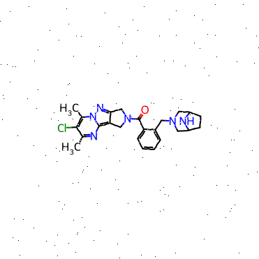 Cc1nc2c3c(nn2c(C)c1Cl)CN(C(=O)c1ccccc1CN1CC2CCC(C1)N2)C3